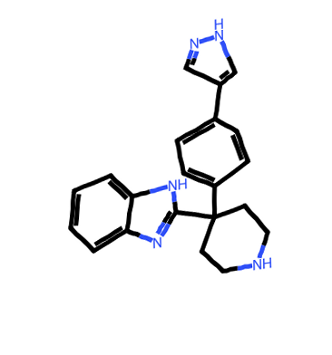 c1ccc2[nH]c(C3(c4ccc(-c5cn[nH]c5)cc4)CCNCC3)nc2c1